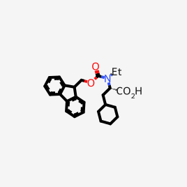 CCN(C(=O)OCC1c2ccccc2-c2ccccc21)[C@@H](CC1CCCCC1)C(=O)O